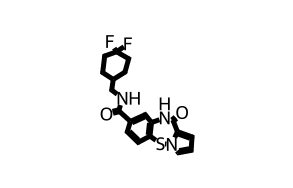 O=C(NCC1CCC(F)(F)CC1)c1ccc2c(c1)NC(=O)c1cccn1S2